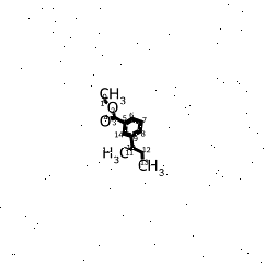 CCOC(=O)c1cccc(C(C)CC)c1